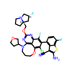 N#Cc1c(N)sc2c(F)ccc(-c3c(Cl)c4c5c(nc(OC[C@@]67CCCN6C[C@H](F)C7)nc5c3F)N(C3CCOC3)CCCO4)c12